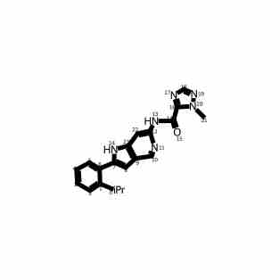 CC(C)c1ccccc1-c1cc2cnc(NC(=O)c3ncnn3C)cc2[nH]1